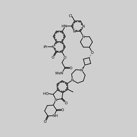 CNC(=O)COc1cc2cc(Nc3nc(N4CCC(O[C@H]5C[C@H](N6CCCN(c7ccc8c(c7C)C(=O)N(C7CCC(=O)NC7=O)C8O)CC6)C5)CC4)ncc3Cl)ccc2n(C(C)C)c1=O